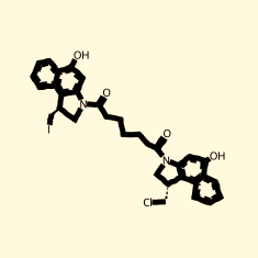 O=C(CCCCCC(=O)N1C[C@@H](CI)c2c1cc(O)c1ccccc21)N1C[C@@H](CCl)c2c1cc(O)c1ccccc21